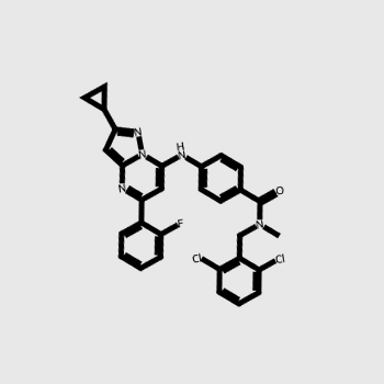 CN(Cc1c(Cl)cccc1Cl)C(=O)c1ccc(Nc2cc(-c3ccccc3F)nc3cc(C4CC4)nn23)cc1